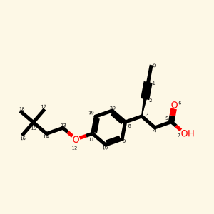 CC#C[C@@H](CC(=O)O)c1ccc(OCCC(C)(C)C)cc1